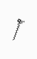 CCCCCCCCCCCCCCONc1ccccc1O